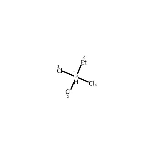 CC[PH](Cl)(Cl)Cl